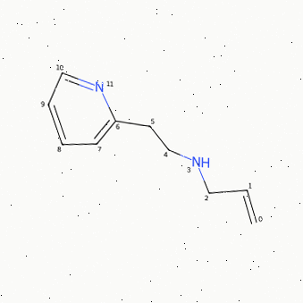 C=CCNCCc1ccccn1